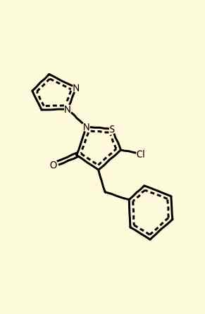 O=c1c(Cc2ccccc2)c(Cl)sn1-n1cccn1